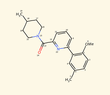 COc1ccc(C)cc1-c1cccc(C(=O)N2CCC(C)CC2)n1